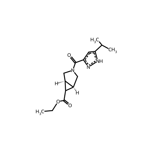 CCOC(=O)C1[C@H]2CN(C(=O)c3cc(C(C)C)[nH]n3)C[C@@H]12